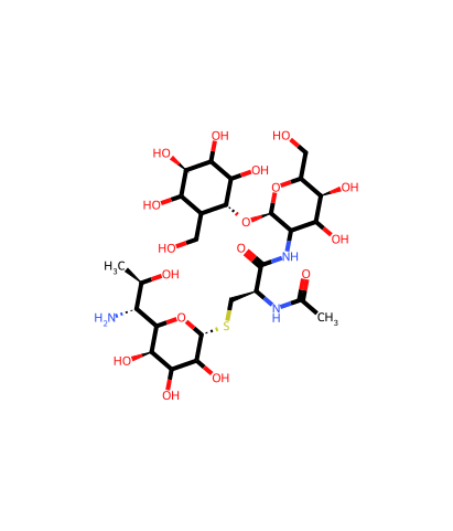 CC(=O)N[C@@H](CS[C@H]1OC([C@H](N)[C@@H](C)O)[C@H](O)C(O)C1O)C(=O)NC1C(O)[C@H](O)C(CO)O[C@@H]1O[C@H]1C(O)C(O)[C@H](O)C(O)C1CO